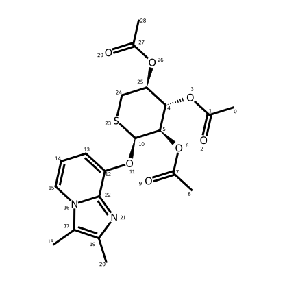 CC(=O)O[C@@H]1[C@@H](OC(C)=O)[C@@H](Oc2cccn3c(C)c(C)nc23)SC[C@H]1OC(C)=O